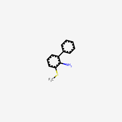 Nc1c(SC(F)(F)F)cccc1-c1ccccc1